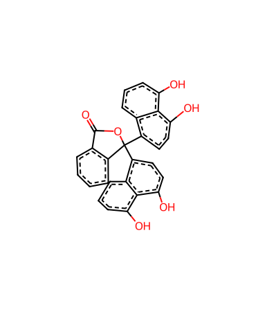 O=C1OC(c2ccc(O)c3c(O)cccc23)(c2ccc(O)c3c(O)cccc23)c2ccccc21